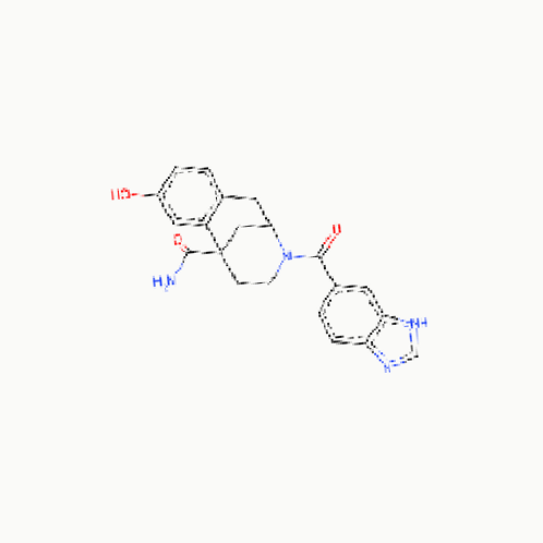 NC(=O)C12CCN(C(=O)c3ccc4nc[nH]c4c3)C(Cc3ccc(O)cc31)C2